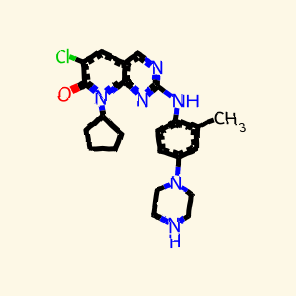 Cc1cc(N2CCNCC2)ccc1Nc1ncc2cc(Cl)c(=O)n(C3CCCC3)c2n1